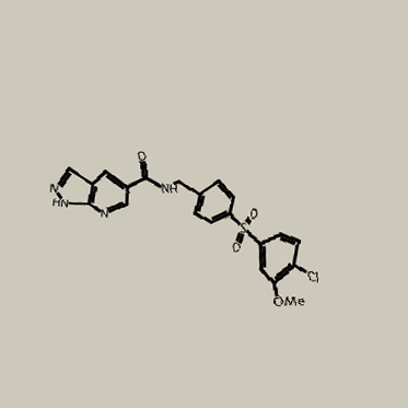 COc1cc(S(=O)(=O)c2ccc(CNC(=O)c3cnc4[nH]ncc4c3)cc2)ccc1Cl